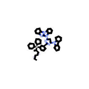 C=C(/C=C\C=C/C)[Si](c1ccccc1)(c1ccccc1)c1cccc(-c2nc(-n3c4ccccc4c4ccccc43)cc(-n3c4ccccc4n4c5ccccc5nc34)n2)c1